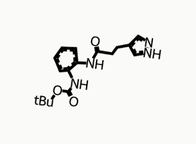 CC(C)(C)OC(=O)Nc1ccccc1NC(=O)CCc1cn[nH]c1